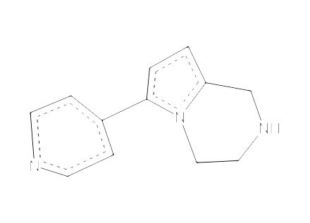 c1cc(-c2ccc3n2CCNC3)ccn1